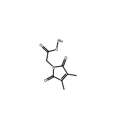 CC1=C(C)C(=O)N(CC(=O)OC(C)(C)C)C1=O